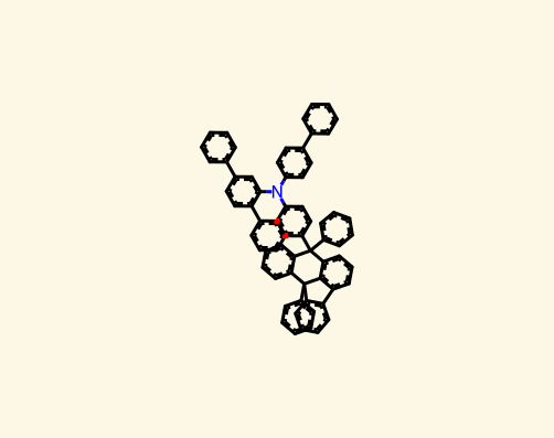 c1ccc(-c2ccc(N(c3ccc(C4(c5ccccc5)c5ccccc5C5(c6ccccc6)c6ccccc6-c6cccc4c65)cc3)c3cc(-c4ccccc4)ccc3-c3ccccc3)cc2)cc1